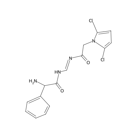 NC(C(=O)NC=NC(=O)Cn1c(Cl)ccc1Cl)c1ccccc1